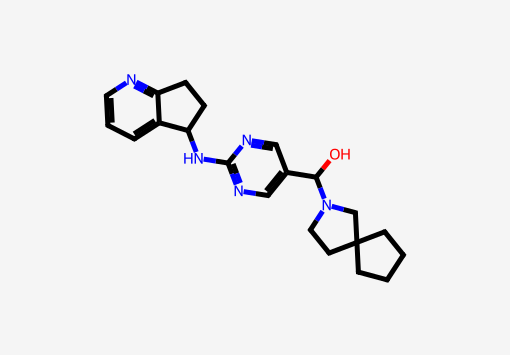 OC(c1cnc(NC2CCc3ncccc32)nc1)N1CCC2(CCCC2)C1